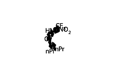 CCCC(CCC)N1CCN(CCC(=O)N2CCC(Nc3ccc([N+](=O)[O-])c(C(F)(F)F)c3)CC2)CC1